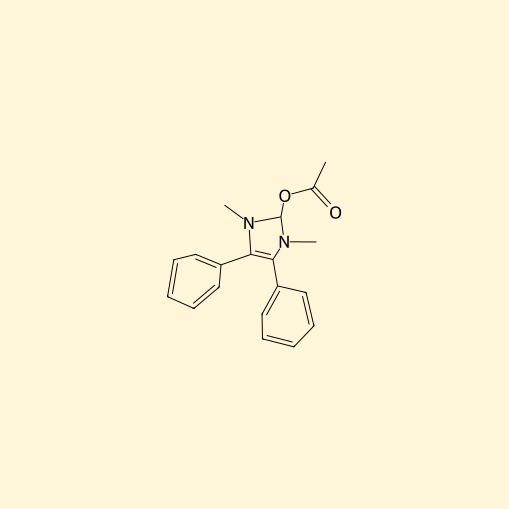 CC(=O)OC1N(C)C(c2ccccc2)=C(c2ccccc2)N1C